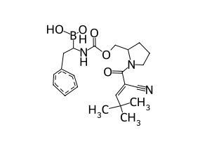 CC(C)(C)C=C(C#N)C(=O)N1CCCC1COC(=O)NC(Cc1ccccc1)B(O)O